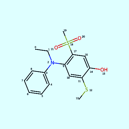 CCN(c1ccccc1)c1cc(SC)c(O)cc1S(C)(=O)=O